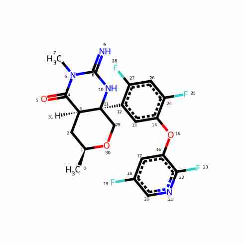 C[C@H]1C[C@H]2C(=O)N(C)C(=N)N[C@@]2(c2cc(Oc3cc(F)cnc3F)c(F)cc2F)CO1